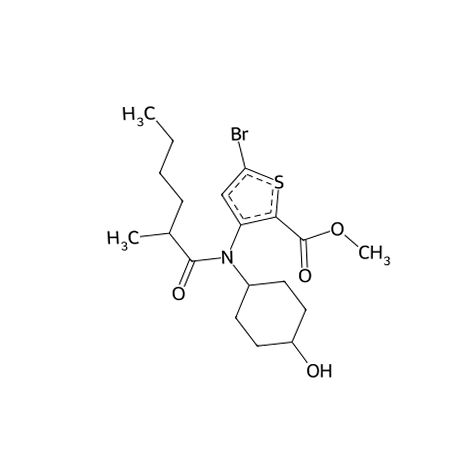 CCCCC(C)C(=O)N(c1cc(Br)sc1C(=O)OC)C1CCC(O)CC1